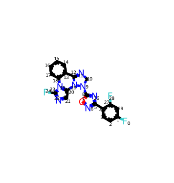 Fc1ccc(-c2noc(N3CN=C4c5ccccc5-n5c(cnc5F)N43)n2)c(F)c1